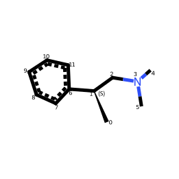 C[C@H](CN(C)C)c1ccccc1